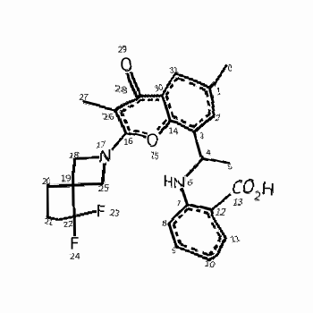 Cc1cc(C(C)Nc2ccccc2C(=O)O)c2oc(N3CC4(CCC4(F)F)C3)c(C)c(=O)c2c1